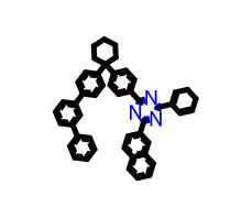 C1=CC(c2nc(-c3ccc(C4(c5ccc(-c6cccc(-c7ccccc7)c6)cc5)CCCCC4)cc3)nc(-c3ccc4ccccc4c3)n2)=CCC1